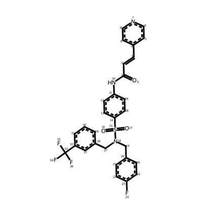 O=C(/C=C/c1ccncc1)Nc1ccc(S(=O)(=O)N(Cc2ccc(F)cc2)Cc2cccc(C(F)(F)F)c2)cc1